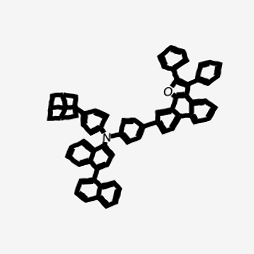 c1ccc(-c2oc3c4cc(-c5ccc(N(c6ccc(C78CC9CC%10CC(C7)C%1098)cc6)c6ccc(-c7cccc8ccccc78)c7ccccc67)cc5)ccc4c4ccccc4c3c2-c2ccccc2)cc1